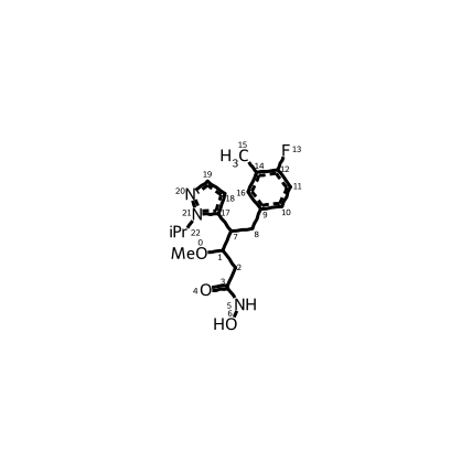 COC(CC(=O)NO)C(Cc1ccc(F)c(C)c1)c1ccnn1C(C)C